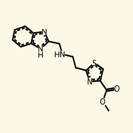 COC(=O)c1csc(CCNCc2nc3ccccc3[nH]2)n1